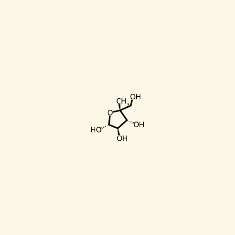 C[C@]1(CO)O[C@@H](O)[C@H](O)[C@H]1O